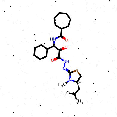 CC(C)C[C@@H]1CS/C(=N\NC(=O)C(=O)C(NC(=O)C2CCCCCC2)C2CCCCC2)N1C